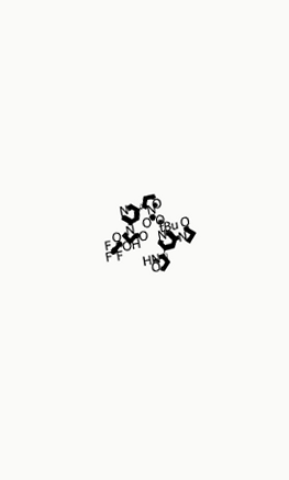 CC(C)(C)OC(=O)N1OCC[C@H]1c1cncc(N2CCC2=O)c1.O=C(O)C(F)(F)F.O=C1CCN1c1cncc([C@@H]2CCON2)c1